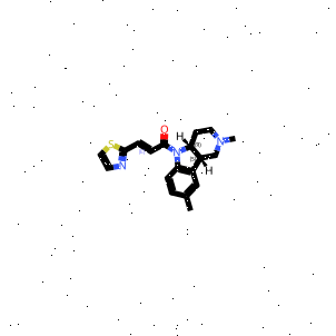 Cc1ccc2c(c1)[C@H]1CN(C)CC[C@H]1N2C(=O)/C=C/c1nccs1